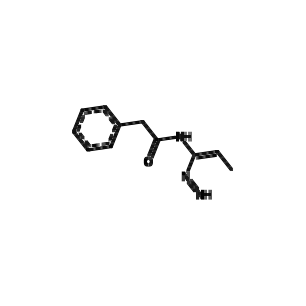 C/C=C(\N=N)NC(=O)Cc1ccccc1